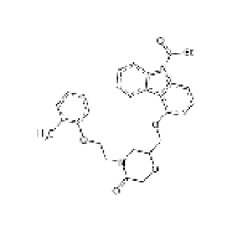 CCC(=O)n1c2ccccc2c2c(OCC3CN(CCOc4ccccc4C)C(=O)CO3)cccc21